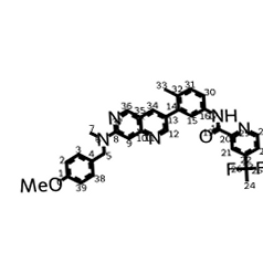 COc1ccc(CN(C)c2cc3ncc(-c4cc(NC(=O)c5cc(C(C)(F)F)ccn5)ccc4C)cc3cn2)cc1